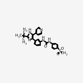 CC(C)(C)c1nc(-c2cccc(NC(=O)Nc3ccc(S(C)(=O)=O)cc3)c2)c(-c2ccncc2)[nH]1